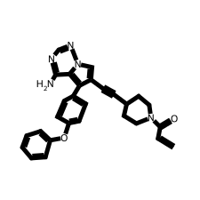 C=CC(=O)N1CCC(C#Cc2cn3ncnc(N)c3c2-c2ccc(Oc3ccccc3)cc2)CC1